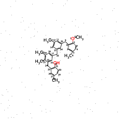 COc1ccc(C)cc1Cc1cc(C)cc(Cc2cc(C)c(C)c(Cc3cc(C)ccc3O)c2)c1